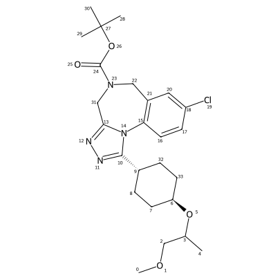 COCC(C)O[C@H]1CC[C@H](c2nnc3n2-c2ccc(Cl)cc2CN(C(=O)OC(C)(C)C)C3)CC1